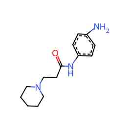 Nc1ccc(NC(=O)CCN2CCCCC2)cc1